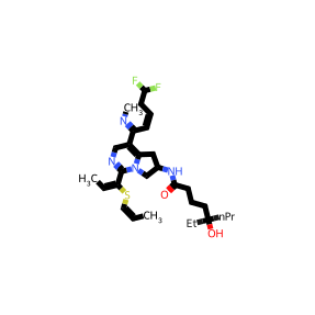 C/C=C\S/C(=C/C)C1=NCC(C(/C=C\CC(F)F)=N/C)=C2CC(NC(=O)CCCC(O)(CC)CCC)CN12